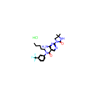 CCCCCN(C(=O)c1cnc(N2CC(C)(C)NC2=O)nc1N)c1cccc(C(F)(F)F)c1.Cl